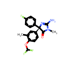 Cc1cc([C@@]2(c3ccc(F)cc3)N=C(N)N(C)C2=O)ccc1OC(F)F